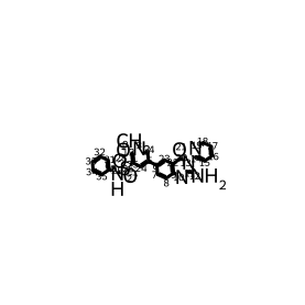 COc1ncc(-c2ccc3nc(N)n(-c4ccccn4)c(=O)c3c2)cc1S(=O)(=O)Nc1ccccc1